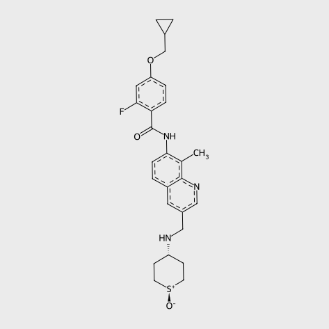 Cc1c(NC(=O)c2ccc(OCC3CC3)cc2F)ccc2cc(CN[C@H]3CC[S@+]([O-])CC3)cnc12